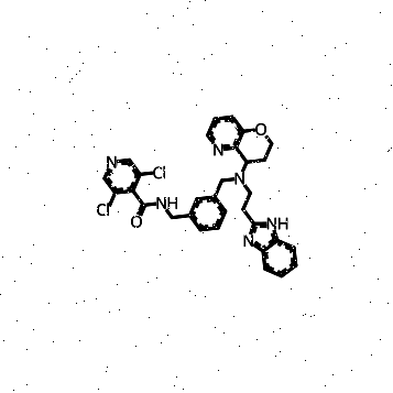 O=C(NCc1cccc(CN(CCc2nc3ccccc3[nH]2)C2CCOc3cccnc32)c1)c1c(Cl)cncc1Cl